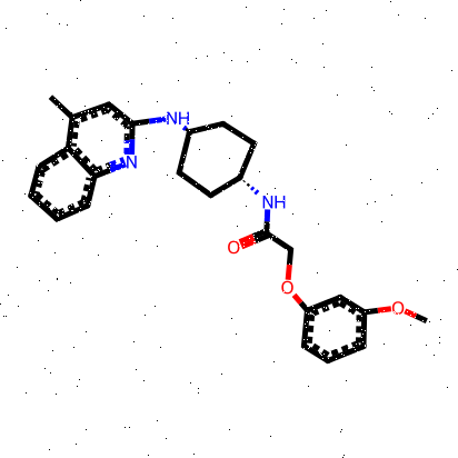 COc1cccc(OCC(=O)N[C@H]2CC[C@@H](Nc3cc(C)c4ccccc4n3)CC2)c1